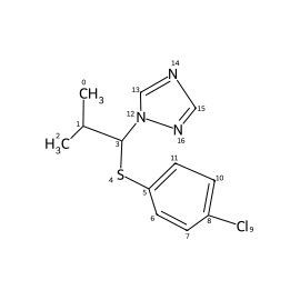 CC(C)C(Sc1ccc(Cl)cc1)n1cncn1